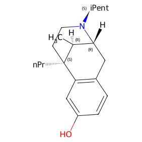 CCC[C@H](C)N1CC[C@]2(CCC)c3cc(O)ccc3C[C@@H]1[C@@H]2C